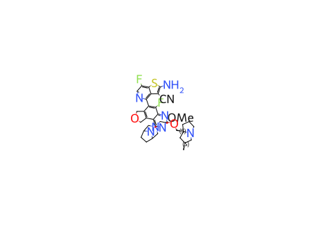 COCCN1CC2CCC(C1)N2c1nc(OC[C@@]23CCCN2C[C@@H](C)C3)nc2c(F)c(-c3ncc(F)c4sc(N)c(C#N)c34)c3c(c12)COC3